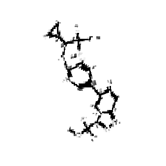 COC(F)(F)c1nnc2cnc(-c3ccc(O[C@@H](C4CC4)C(F)(F)F)nc3)cn12